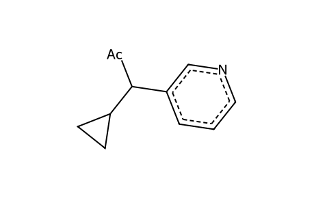 CC(=O)C(c1cccnc1)C1CC1